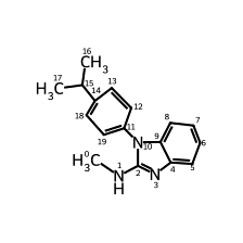 CNc1nc2ccccc2n1-c1ccc(C(C)C)cc1